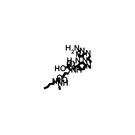 CCCC/N=C(\NCC)OC(=O)CC[C@H](NC(=O)c1ccc(N(C)Cc2cnc3nc(N)nc(N)c3n2)cc1)C(=O)O